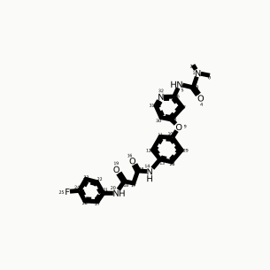 CN(C)C(=O)Nc1cc(Oc2ccc(NC(=O)CC(=O)Nc3ccc(F)cc3)cc2)ccn1